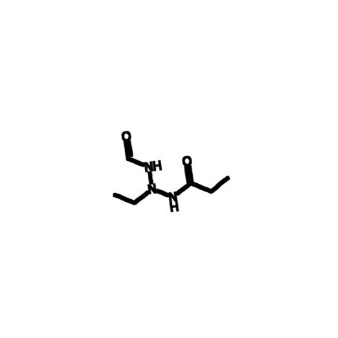 CCC(=O)NN(CC)NC=O